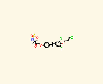 CC(C)(NS(C)(=O)=O)C(=O)COc1ccc(C(C)(C)c2cc(Cl)c(OCCCCl)c(Cl)c2)cc1